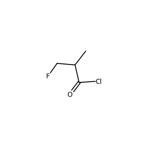 CC(CF)C(=O)Cl